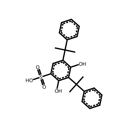 CC(C)(c1ccccc1)c1cc(S(=O)(=O)O)c(O)c(C(C)(C)c2ccccc2)c1O